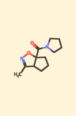 CC1=NOC2(C(=O)N3CCCC3)CCCC12